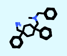 CN(Cc1ccccc1)CC1(c2ccccc2)CCC(CN)(c2ccccc2)CC1